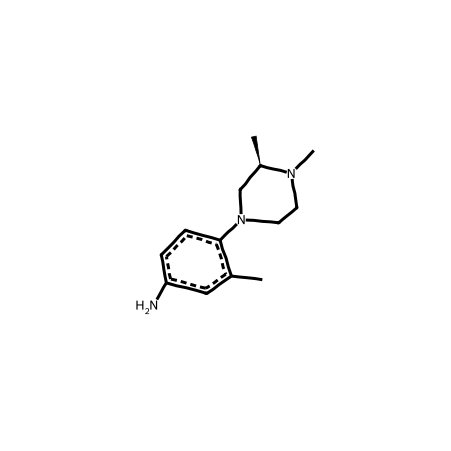 Cc1cc(N)ccc1N1CCN(C)[C@H](C)C1